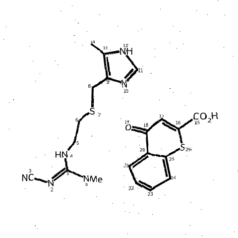 CN/C(=N/C#N)NCCSCc1nc[nH]c1C.O=C(O)c1cc(=O)c2ccccc2s1